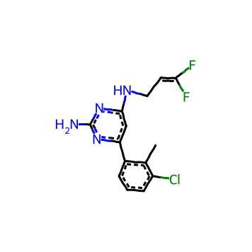 Cc1c(Cl)cccc1-c1cc(NCC=C(F)F)nc(N)n1